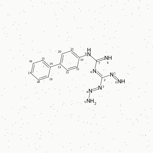 N=N/C(N=NN)=N\C(=N)Nc1ccc(-c2ccccc2)cc1